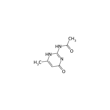 CC(=O)Nc1nc(=O)cc(C)[nH]1